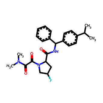 CC(C)c1ccc(C(NC(=O)C2CC(F)CN2C(=O)C(=O)N(C)C)c2ccccc2)cc1